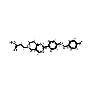 O=C(O)CCN1CCc2nc(-c3ccc(OCc4ccc(Cl)cc4)cc3)ncc2C1